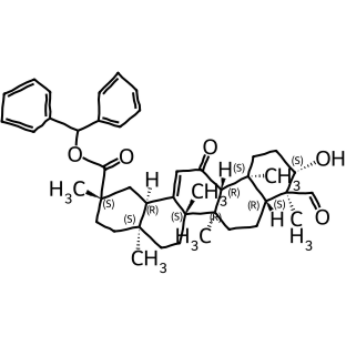 C[C@]1(C(=O)OC(c2ccccc2)c2ccccc2)CC[C@]2(C)CC[C@]3(C)C(=CC(=O)[C@@H]4[C@@]5(C)CC[C@H](O)[C@@](C)(C=O)[C@@H]5CC[C@]43C)[C@@H]2C1